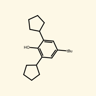 CC(C)(C)c1cc(C2CCCC2)c(O)c(C2CCCC2)c1